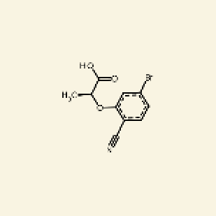 C[C@H](Oc1cc(Br)ccc1C#N)C(=O)O